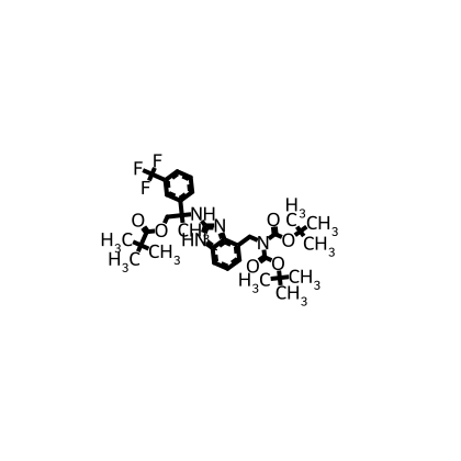 CC(C)(C)OC(=O)N(Cc1cccc2[nH]c(NC(C)(COC(=O)C(C)(C)C)c3cccc(C(F)(F)F)c3)nc12)C(=O)OC(C)(C)C